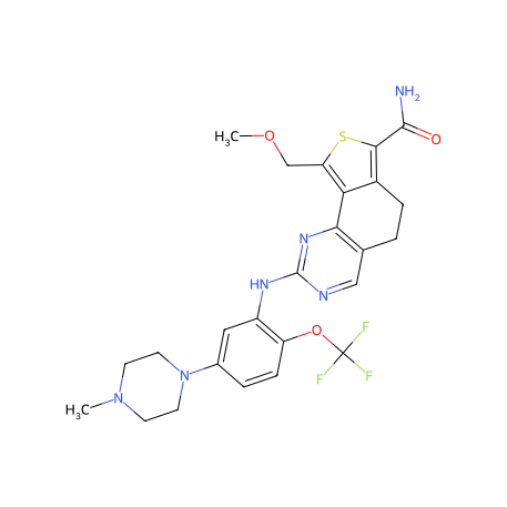 COCc1sc(C(N)=O)c2c1-c1nc(Nc3cc(N4CCN(C)CC4)ccc3OC(F)(F)F)ncc1CC2